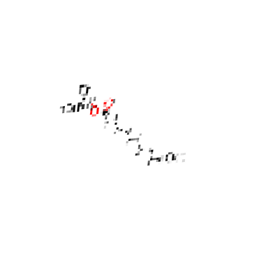 CCCCCCCC/C=C/CCCCCCCC(=O)OCC(CC)CCCC